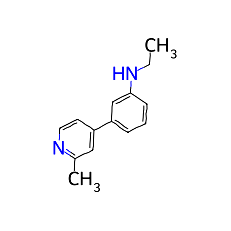 CCNc1cccc(-c2ccnc(C)c2)c1